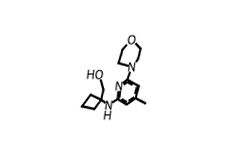 Cc1cc(NC2(CO)CCC2)nc(N2CCOCC2)c1